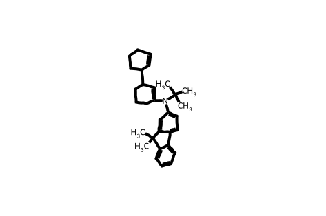 CC1(C)c2ccccc2-c2ccc(N(C3=CC(C4C=CCCC4)CCC3)C(C)(C)C)cc21